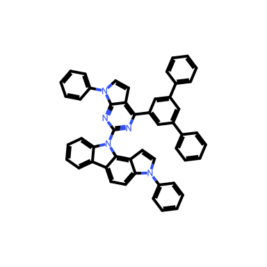 c1ccc(-c2cc(-c3ccccc3)cc(-c3nc(-n4c5ccccc5c5ccc6c(ccn6-c6ccccc6)c54)nc4c3ccn4-c3ccccc3)c2)cc1